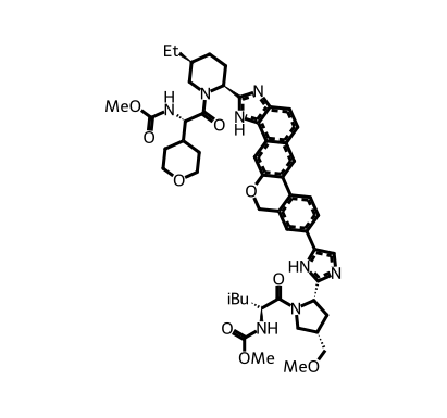 CC[C@H]1CC[C@@H](c2nc3ccc4cc5c(cc4c3[nH]2)OCc2cc(-c3cnc([C@@H]4C[C@H](COC)CN4C(=O)[C@@H](NC(=O)OC)[C@@H](C)CC)[nH]3)ccc2-5)N(C(=O)[C@@H](NC(=O)OC)C2CCOCC2)C1